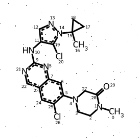 CN1CCN(c2cc3nc(Nc4cnn(C5(C)CC5)c4Cl)ncc3cc2Cl)CC1=O